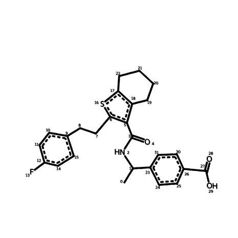 CC(NC(=O)c1c(CCc2ccc(F)cc2)sc2c1CCCC2)c1ccc(C(=O)O)cc1